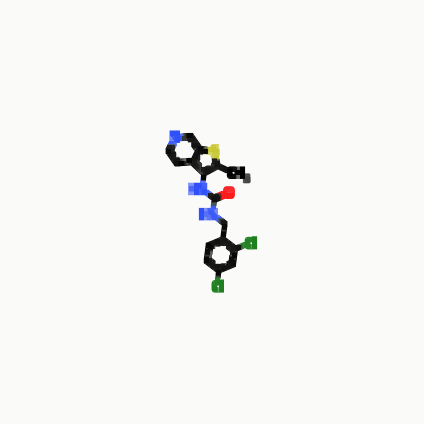 Cc1sc2cnccc2c1NC(=O)NCc1ccc(Cl)cc1Cl